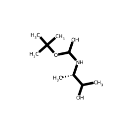 CC(O)[C@H](C)NC(O)OC(C)(C)C